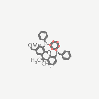 COCc1cc(P(c2ccccc2)c2ccccc2)c2c(c1)C(C)(C)c1cccc(P(c3ccccc3)c3ccccc3)c1O2